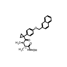 C[C@@H](C(=O)NO)N(C)C(=O)C1(c2ccc(OCc3ccc4ccccc4c3)cc2)CC1